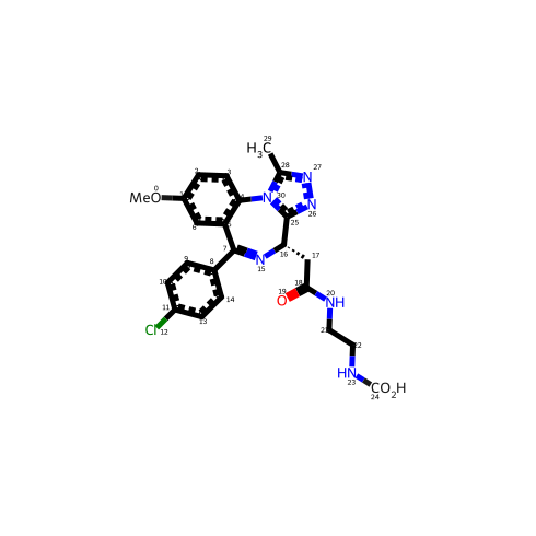 COc1ccc2c(c1)C(c1ccc(Cl)cc1)=N[C@@H](CC(=O)NCCNC(=O)O)c1nnc(C)n1-2